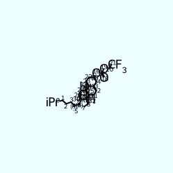 CC(C)CCC[C@@H](C)[C@H]1CC[C@H]2[C@@H]3CC=C4C[C@@H](OC(=O)OCC(F)(F)F)CC[C@]4(C)[C@H]3CC[C@]12C